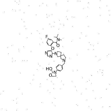 CC(C)N(C)C(=O)c1cc(F)ccc1Oc1cncnc1N1CCC2(CCN(Cc3ccc(N4CCOC4O)cc3)C2)C1